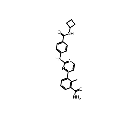 Cc1c(C(N)=O)cccc1-c1ccnc(Nc2ccc(C(=O)NC3CCC3)cc2)n1